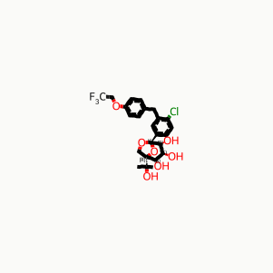 CC(C)(O)[C@]12CO[C@@](c3ccc(Cl)c(Cc4ccc(OCC(F)(F)F)cc4)c3)(O1)[C@H](O)[C@@H](O)[C@@H]2O